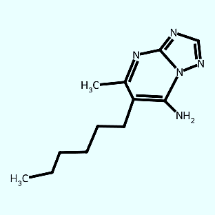 CCCCCCc1c(C)nc2ncnn2c1N